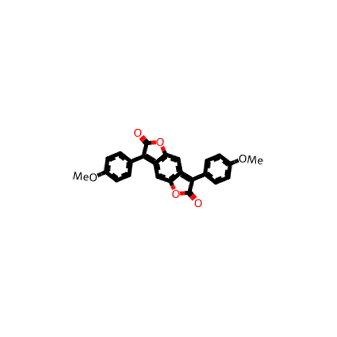 COc1ccc(C2=c3cc4c(cc3OC2=O)=C(c2ccc(OC)cc2)C(=O)O4)cc1